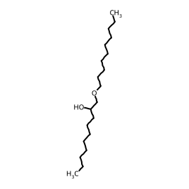 CCCCCCCCCCOCC(O)CCCCCCCC